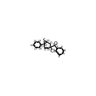 CC1(C(=O)c2ccccc2)C=CC2(c3ccccc3)SC2C1